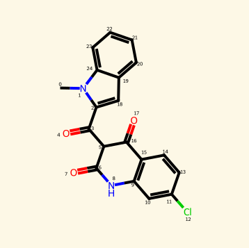 Cn1c(C(=O)C2C(=O)Nc3cc(Cl)ccc3C2=O)cc2ccccc21